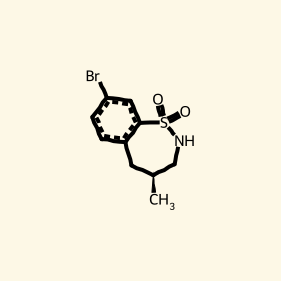 C[C@@H]1CNS(=O)(=O)c2cc(Br)ccc2C1